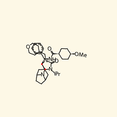 CO[C@H]1CC[C@@H](C(=O)N[C@@H](CCN2C3CCC2CC2(C3)CN(CC3CCOCC3)C(=O)N2C(C)C)c2ccccc2)CC1